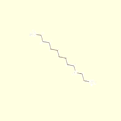 CC(C)(C)CCOCCCCCCCCCO